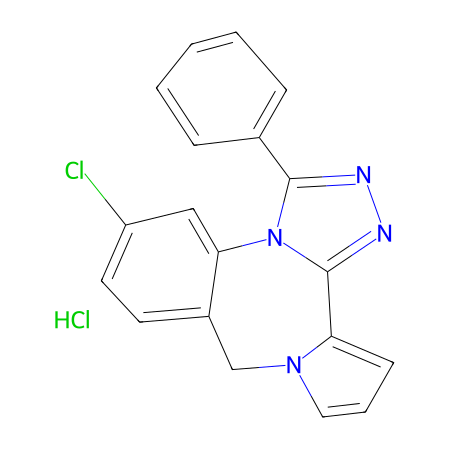 Cl.Clc1ccc2c(c1)-n1c(-c3ccccc3)nnc1-c1cccn1C2